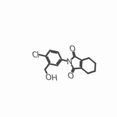 O=C1C2=C(CCCC2)C(=O)N1c1ccc(Cl)c(CO)c1